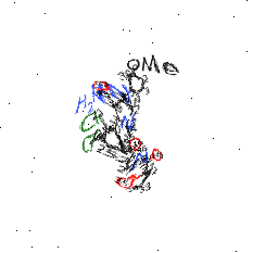 COc1cccc(NC2(C(N)=O)CCN(CCOC3(c4ccc(Cl)c(Cl)c4)CCN(C(=O)c4ccco4)C3)CC2)c1